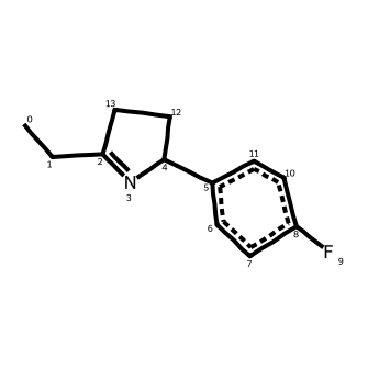 CCC1=NC(c2ccc(F)cc2)CC1